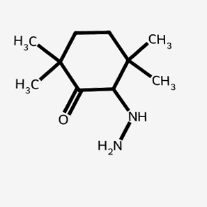 CC1(C)CCC(C)(C)C(NN)C1=O